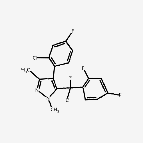 Cc1nn(C)c(C(F)(Cl)c2ccc(F)cc2F)c1-c1ccc(F)cc1Cl